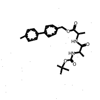 Cc1ccc(-c2ccc(COC(=O)C(C)NC(=O)C(C)NC(=O)OC(C)(C)C)cc2)cc1